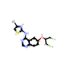 CCc1csc(Nc2ncnc3ccc(OC(CF)CF)cc23)n1